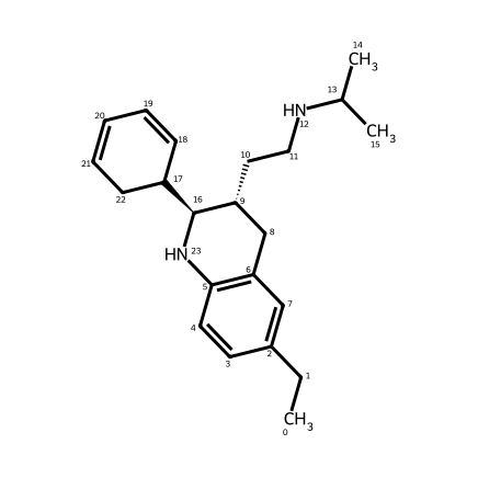 CCc1ccc2c(c1)C[C@@H](CCNC(C)C)[C@H](C1C=CC=CC1)N2